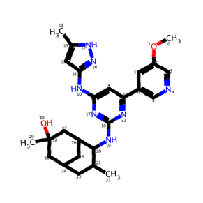 COc1cncc(-c2cc(Nc3cc(C)[nH]n3)nc(NC3C(C)CC4CC3CC(C)(O)C4)n2)c1